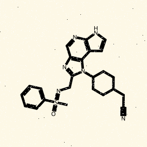 CS(=O)(=NCc1nc2cnc3[nH]ccc3c2n1C1CCC(CC#N)CC1)c1ccccc1